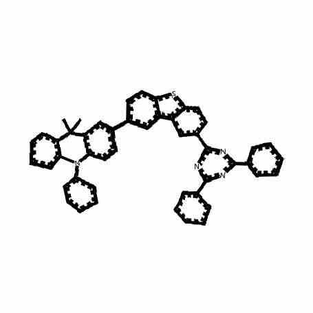 CC1(C)c2ccccc2N(c2ccccc2)c2ccc(-c3ccc4sc5ccc(-c6nc(-c7ccccc7)nc(-c7ccccc7)n6)cc5c4c3)cc21